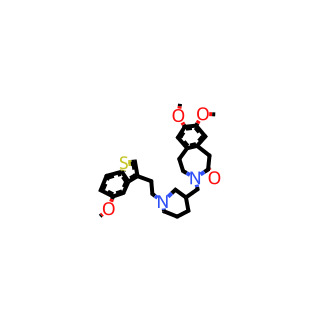 COc1ccc2scc(CCN3CCCC(CN4CCc5cc(OC)c(OC)cc5CC4=O)C3)c2c1